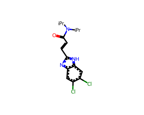 CC(C)N(C(=O)/C=C/c1nc2cc(Cl)c(Cl)cc2[nH]1)C(C)C